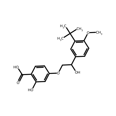 COc1ccc(C(O)COc2ccc(C(=O)O)c(O)c2)cc1C(C)(C)C